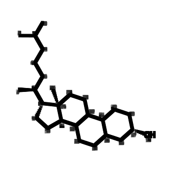 CC(C)CCC[C@H](C)[C@H]1CCC2C3CCC4C[C@@H](O)CCC4C3CC[C@@]21C